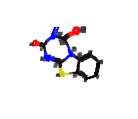 O=c1nc2sc3ccccc3n2c(=O)[nH]1